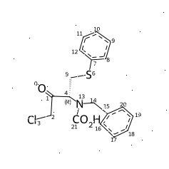 O=C(CCl)[C@H](CSc1ccccc1)N(Cc1ccccc1)C(=O)O